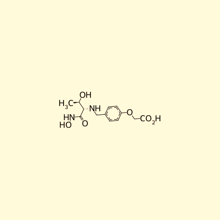 C[C@@H](O)[C@H](NCc1ccc(OCC(=O)O)cc1)C(=O)NO